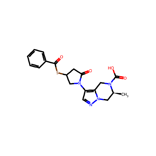 C[C@H]1Cn2ncc(N3CC(SC(=O)c4ccccc4)CC3=O)c2CN1C(=O)O